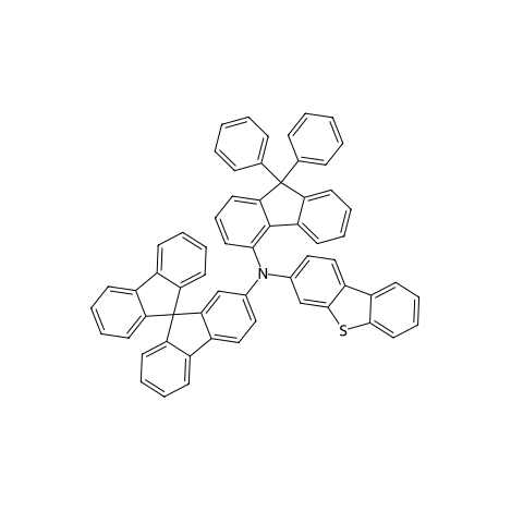 c1ccc(C2(c3ccccc3)c3ccccc3-c3c(N(c4ccc5c(c4)C4(c6ccccc6-c6ccccc64)c4ccccc4-5)c4ccc5c(c4)sc4ccccc45)cccc32)cc1